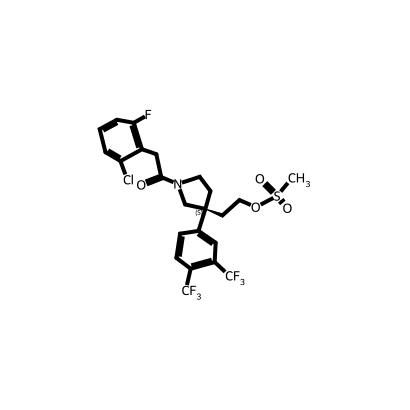 CS(=O)(=O)OCC[C@]1(c2ccc(C(F)(F)F)c(C(F)(F)F)c2)CCN(C(=O)Cc2c(F)cccc2Cl)C1